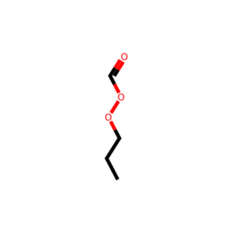 CCCOOC=O